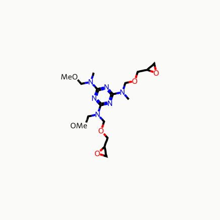 COCN(C)c1nc(N(C)COCC2CO2)nc(N(COC)COCC2CO2)n1